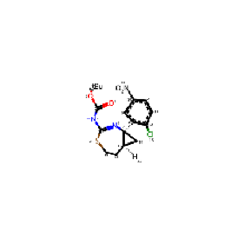 CC(C)(C)OC(=O)NC1=N[C@@]2(c3cc([N+](=O)[O-])ccc3Cl)C[C@H]2CCS1